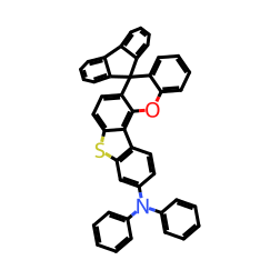 c1ccc(N(c2ccccc2)c2ccc3c(c2)sc2ccc4c(c23)Oc2ccccc2C42c3ccccc3-c3ccccc32)cc1